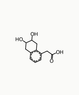 O=C(O)Cc1cccc2c1CC(O)C(O)C2